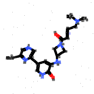 CNc1cncc(-c2c[nH]c(=O)c(NC3CN(C(=O)/C=C/CN(C)C)C3)c2)n1